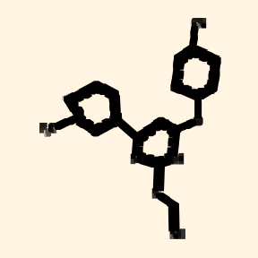 N#Cc1ccc(Oc2cc(-c3cccc(C(F)(F)F)c3)n/c(=N/C=N)[nH]2)cc1